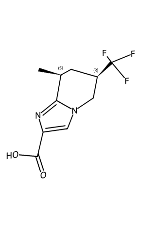 C[C@H]1C[C@@H](C(F)(F)F)Cn2cc(C(=O)O)nc21